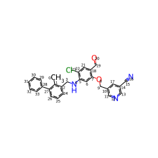 Cc1c(CNc2cc(OCc3cncc(C#N)c3)c(C=O)cc2Cl)cccc1-c1ccccc1